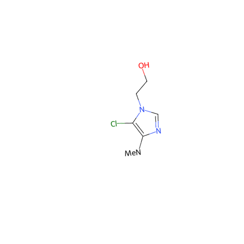 CNc1ncn(CCO)c1Cl